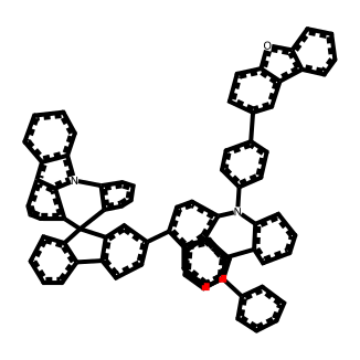 c1ccc(-c2ccccc2-c2ccccc2N(c2ccc(-c3ccc4oc5ccccc5c4c3)cc2)c2ccc(-c3ccc4c(c3)C3(c5ccccc5-4)c4ccccc4-n4c5ccccc5c5cccc3c54)c3ccccc23)cc1